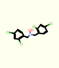 ON(Cc1ccc(Cl)cc1Cl)Cc1ccc(Cl)cc1Cl